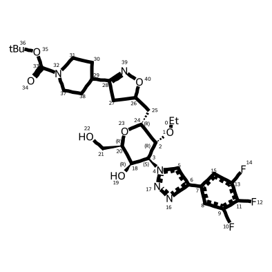 CCO[C@@H]1[C@@H](n2cc(-c3cc(F)c(F)c(F)c3)nn2)[C@@H](O)[C@@H](CO)O[C@@H]1CC1CC(C2CCN(C(=O)OC(C)(C)C)CC2)=NO1